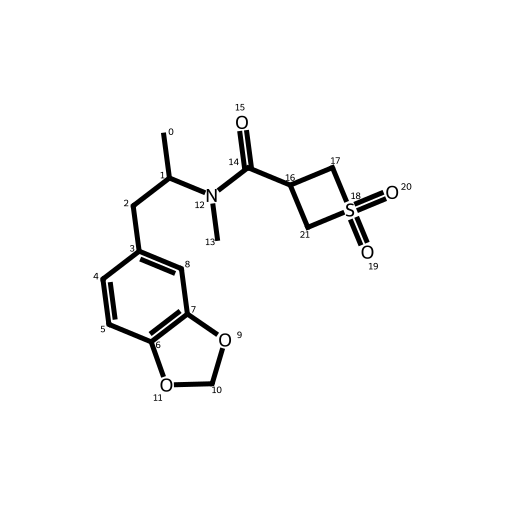 CC(Cc1ccc2c(c1)OCO2)N(C)C(=O)C1CS(=O)(=O)C1